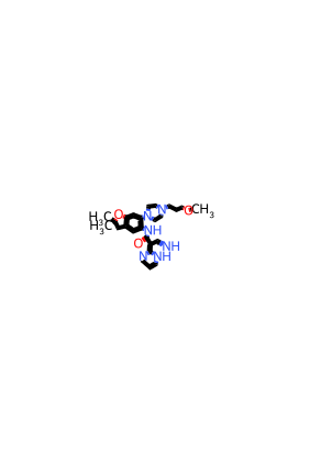 COCCCN1CCN(c2cc3c(cc2NC(=O)/C(C=N)=C2\N=CC=CN2)CC(C)(C)O3)CC1